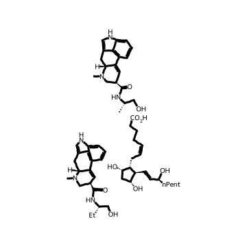 CCCCC[C@H](O)/C=C/[C@@H]1[C@@H](C/C=C\CCCC(=O)O)[C@@H](O)C[C@H]1O.CC[C@@H](CO)NC(=O)[C@@H]1C=C2c3cccc4[nH]cc(c34)C[C@H]2N(C)C1.C[C@@H](CO)NC(=O)[C@@H]1C=C2c3cccc4[nH]cc(c34)C[C@H]2N(C)C1